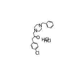 Cl.Cl.O=C(Cc1ccc(Cl)cc1)CN1CCN(Cc2ccccc2)CC1